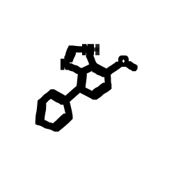 COc1ccc(-c2ccccc2)c2nc[nH]c12